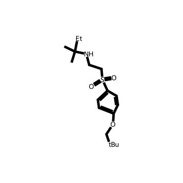 CCC(C)(C)NCCS(=O)(=O)c1ccc(OCC(C)(C)C)cc1